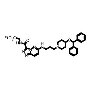 CCOC(=O)CNC(=O)c1nnc2ccc(NCCCN3CCC(OC(c4ccccc4)c4ccccc4)CC3)nn12